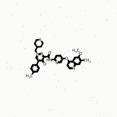 COc1cc2c(Oc3ccc(NC(=O)c4nn(CC5CCSCC5)cc(-c5ccc(C)cc5)c4=O)nc3)ccnc2cc1C